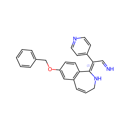 N=C/C(=C1\NCC=Cc2cc(OCc3ccccc3)ccc21)c1ccncc1